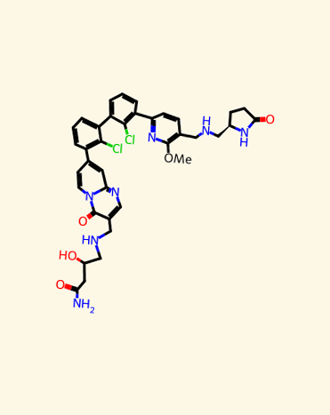 COc1nc(-c2cccc(-c3cccc(-c4ccn5c(=O)c(CNCC(O)CC(N)=O)cnc5c4)c3Cl)c2Cl)ccc1CNC[C@H]1CCC(=O)N1